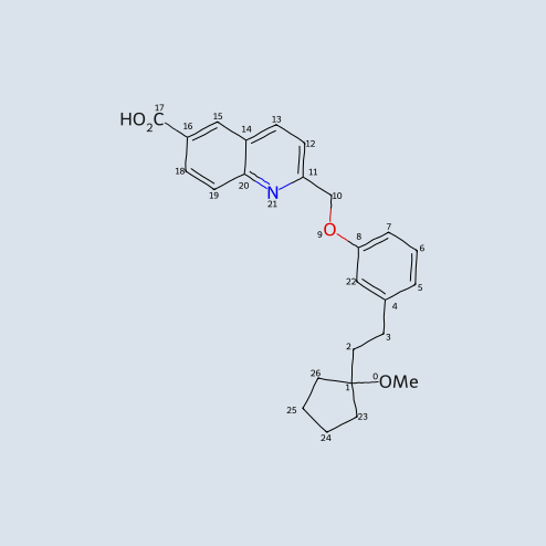 COC1(CCc2cccc(OCc3ccc4cc(C(=O)O)ccc4n3)c2)CCCC1